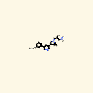 COc1cccc(-c2cncc(C3=C4C=C4N(CC(C)CN(C)C)C3)c2)c1